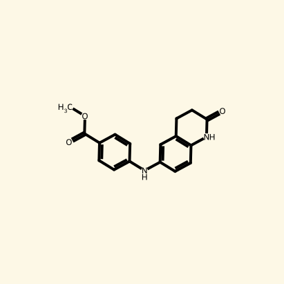 COC(=O)c1ccc(Nc2ccc3c(c2)CCC(=O)N3)cc1